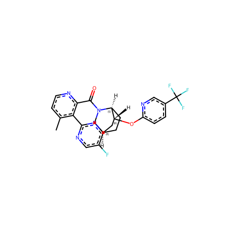 Cc1ccnc(C(=O)N2C[C@@H]3CC[C@H]2[C@H](Oc2ccc(C(F)(F)F)cn2)C3)c1-c1ncc(F)cn1